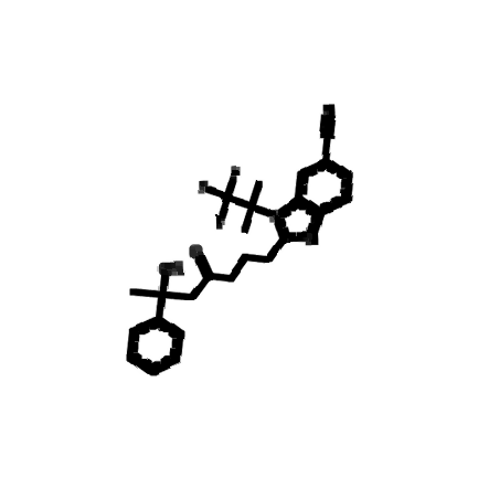 CC(O)(CC(=O)CCCc1nc2ccc(C#N)cc2n1C(C)(C)C(F)(F)F)c1ccccc1